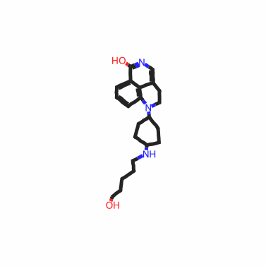 OCCCCCNC1CCC(N2CCc3cnc(O)c4cccc2c34)CC1